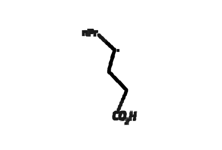 CCC[CH]CCC(=O)O